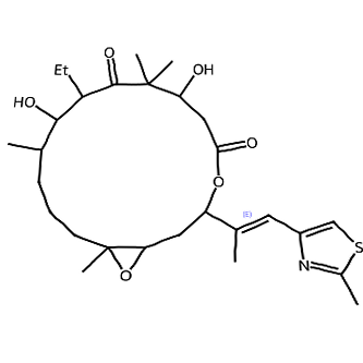 CCC1C(=O)C(C)(C)C(O)CC(=O)OC(/C(C)=C/c2csc(C)n2)CC2OC2(C)CCCC(C)C1O